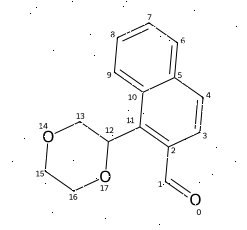 O=Cc1ccc2ccccc2c1C1COCCO1